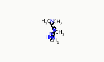 Cc1cc(CC2CCN(C(C)c3cnc4[nH]c(C)nc4c3)C2)cc(C)n1